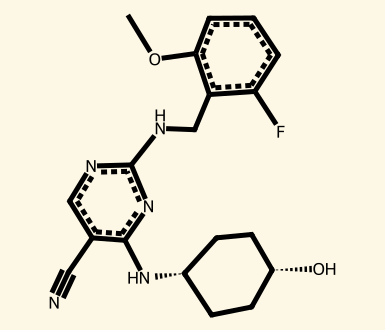 COc1cccc(F)c1CNc1ncc(C#N)c(N[C@H]2CC[C@@H](O)CC2)n1